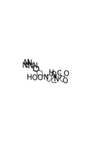 CC1=C(N2CCC3(CCN(CCc4cnc(-n5cnnn5)cc4C(=O)O)CC3)C2=O)COC1=O